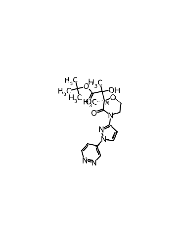 CC(C)(C)OC(=O)C(C)(O)[C@@]1(C)OCCN(c2ccn(-c3ccnnc3)n2)C1=O